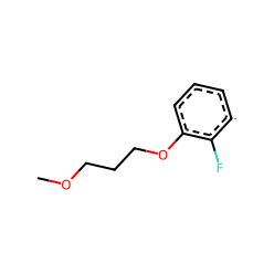 COCCCOc1ccc[c]c1F